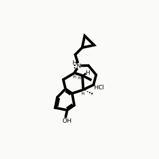 C[C@H]1[C@H]2Cc3ccc(O)cc3[C@]1(C)CCCN2CC1CC1.Cl